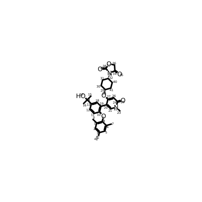 Cc1cc(F)cc(C)c1Oc1ccc(C(C)(C)O)cc1-c1cn(C)c(=O)cc1O[C@H]1CC[C@H](N2C(=O)COC2=O)CC1